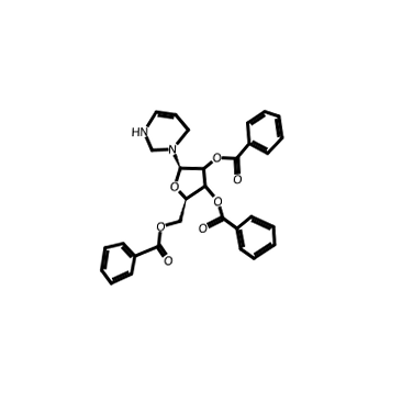 O=C(OC[C@H]1O[C@@H](N2CC=CNC2)C(OC(=O)c2ccccc2)C1OC(=O)c1ccccc1)c1ccccc1